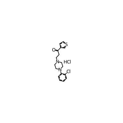 Cl.O=C(CCN1CCN(c2ccccc2Cl)CC1)c1ccsc1